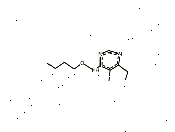 CCCCONc1ncnc(CC)c1C